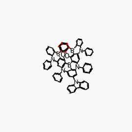 c1ccc(N2c3ccccc3B3c4ccccc4Oc4c3c2cc2c4B3c4c(cc(-n5c6ccccc6c6ccccc65)cc4N(c4ccccc4)c4cc5c6c(c43)Oc3ccccc3B6c3ccccc3N5c3ccccc3)N2c2ccccc2)cc1